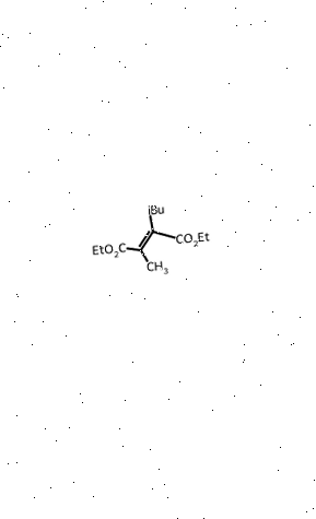 CCOC(=O)C(C)=C(C(=O)OCC)C(C)CC